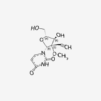 C#C[C@]1(OC)[C@H](O)[C@@H](CO)O[C@H]1n1ccc(=O)[nH]c1=O